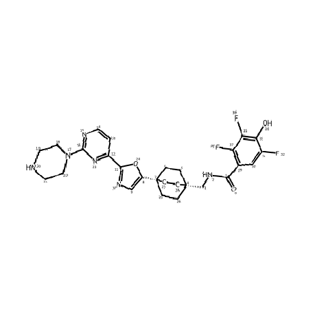 O=C(NC[C@]12CC[C@](c3cnc(-c4ccnc(N5CCNCC5)n4)o3)(CC1)CC2)c1cc(F)c(O)c(F)c1F